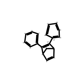 C1=CC2CC1C(c1ccccc1)=C2c1ccccc1